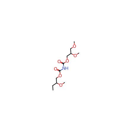 CCC(COC(=O)NC(=O)OCC(COC)OC)OC